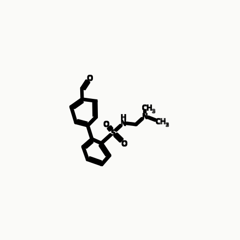 CN(C)CNS(=O)(=O)c1ccccc1-c1ccc(C=O)cc1